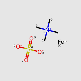 C[N+](C)(C)C.O=S(=O)([O-])[O-].[Fe+]